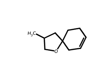 CC1COC2(CC=CCC2)C1